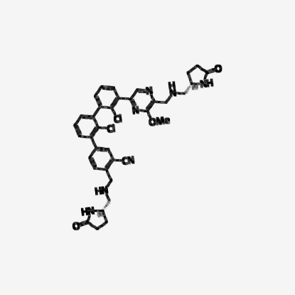 COc1nc(-c2cccc(-c3cccc(-c4ccc(CNC[C@@H]5CCC(=O)N5)c(C#N)c4)c3Cl)c2Cl)cnc1CNC[C@@H]1CCC(=O)N1